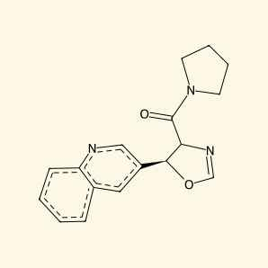 O=C(C1N=CO[C@H]1c1cnc2ccccc2c1)N1CCCC1